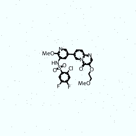 COCCOc1cnc2ccc(-c3cnc(OC)c(NS(=O)(=O)c4cc(F)c(F)cc4Cl)c3)cn2c1=O